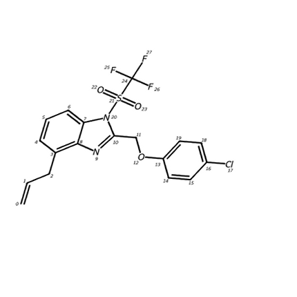 C=CCc1cccc2c1nc(COc1ccc(Cl)cc1)n2S(=O)(=O)C(F)(F)F